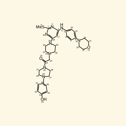 CSc1nc(Nc2ccc(N3CCOCC3)cc2)cc(N2CCN(CC(=O)N3CCN(c4ccc(O)cc4)CC3)CC2)n1